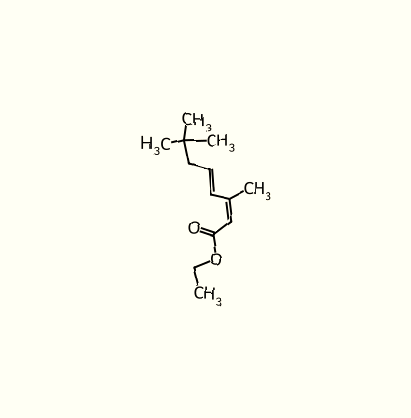 CCOC(=O)C=C(C)C=CCC(C)(C)C